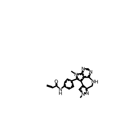 C=CC(=O)Nc1ccc(-c2c3c4c(ncnc4n2C)NCc2nn(C)cc2-3)cc1